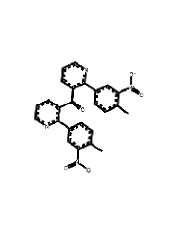 Cc1ccc(-c2ncccc2C(=O)c2cccnc2-c2ccc(C)c([N+](=O)[O-])c2)cc1[N+](=O)[O-]